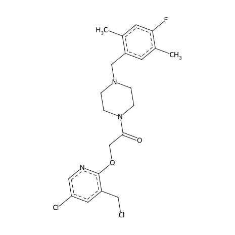 Cc1cc(CN2CCN(C(=O)COc3ncc(Cl)cc3CCl)CC2)c(C)cc1F